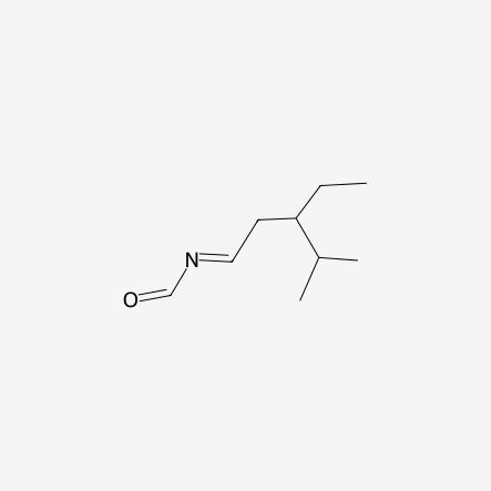 CCC(C/C=N/C=O)C(C)C